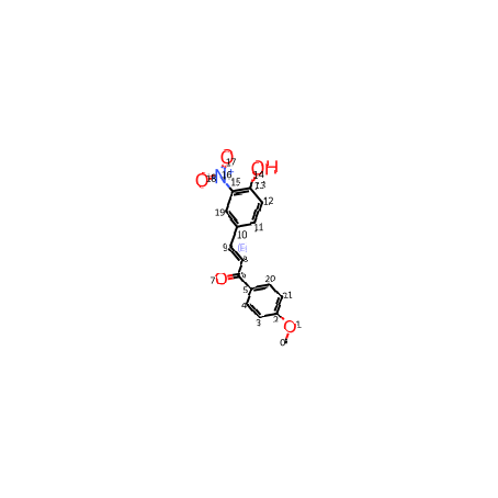 COc1ccc(C(=O)/C=C/c2ccc(O)c([N+](=O)[O-])c2)cc1